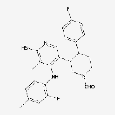 Cc1ccc(Nc2c(C3CN(C=O)CCC3c3ccc(F)cc3)cnc(S)c2C)c(F)c1